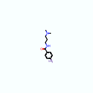 CN(C)CCCNC(=O)c1ccc([124I])cc1